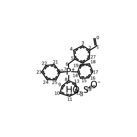 C=Cc1ccc(C[P+](c2ccccc2)(c2ccccc2)c2ccccc2)cc1.O=S(=O)([O-])O